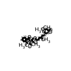 CC(=O)O[C@@H](C)c1ccccc1C(=O)NC1COC(C/C=C(C)/C=C/[C@@H]2C[C@]3(CO3)CC(C)(C)O2)OC1